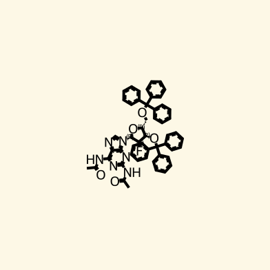 CC(=O)Nc1nc(NC(C)=O)c2ncn([C@@H]3O[C@H](COC(c4ccccc4)(c4ccccc4)c4ccccc4)[C@@H](OC(c4ccccc4)(c4ccccc4)c4ccccc4)[C@H]3F)c2n1